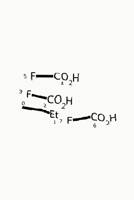 CCC.O=C(O)F.O=C(O)F.O=C(O)F